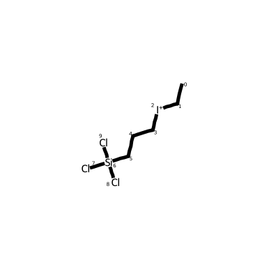 CC[I+]CCC[Si](Cl)(Cl)Cl